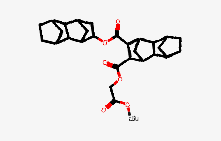 CC(C)(C)OC(=O)COC(=O)C1C2CC(C1C(=O)OC1CC3CC1C1C4CCC(C4)C31)C1C3CCC(C3)C21